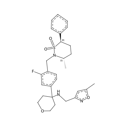 Cc1cc(CNC2(c3ccc(CN4[C@@H](C)CC[C@H](c5ccccc5)S4(=O)=O)c(F)c3)CCOCC2)no1